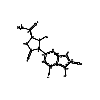 CC1[C@H](C(N)=O)OC(=O)N1c1cc(F)c2c(c1)sc(=O)n2C